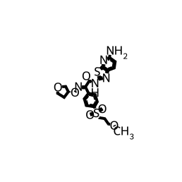 COCCCS(=O)(=O)c1ccc(/C(=N\O[C@@H]2CCOC2)C(=O)Nc2nc3ccc(N)nc3s2)cc1